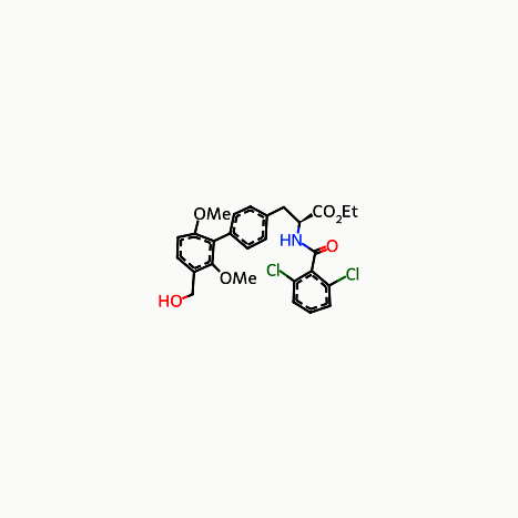 CCOC(=O)[C@H](Cc1ccc(-c2c(OC)ccc(CO)c2OC)cc1)NC(=O)c1c(Cl)cccc1Cl